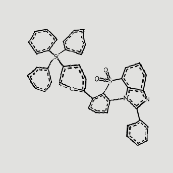 O=S1(=O)c2c(-c3ccc([Si](c4ccccc4)(c4ccccc4)c4ccccc4)cc3)cccc2-n2c(-c3ccccc3)nc3cccc1c32